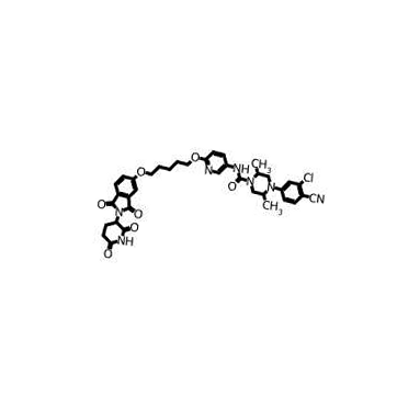 CC1CN(c2ccc(C#N)c(Cl)c2)C(C)CN1C(=O)Nc1ccc(OCCCCCOc2ccc3c(c2)C(=O)N(C2CCC(=O)NC2=O)C3=O)nc1